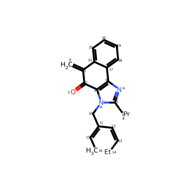 C=C1C(=O)c2c(nc(C(C)C)n2CC(/C=C\CC)=C/C)-c2ccccc21